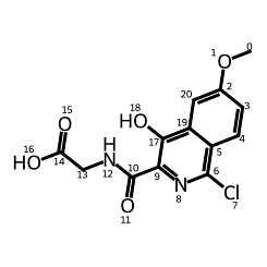 COc1ccc2c(Cl)nc(C(=O)NCC(=O)O)c(O)c2c1